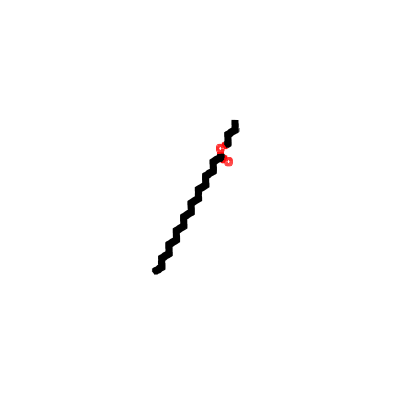 C[CH]CCOC(=O)CCCCCCCCCCCCCCCCC